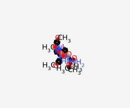 COc1ccc(CN(Cc2ccc(OC)cc2)S(=O)(=O)c2c(S(=O)(=O)NCC(NC(=O)OC(C)(C)C)C(N)=O)ccc(I)c2-c2nnn(Cc3ccc(OC)cc3)n2)cc1